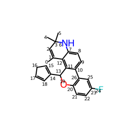 CC1=CC(C)(C)Nc2ccc3c(c21)C(C1=CCC=C1)Oc1ccc(F)cc1-3